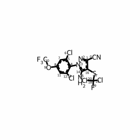 N#Cc1nn(-c2c(Cl)cc(OC(F)(F)F)cc2Cl)c(N)c1SC(F)(Cl)Cl